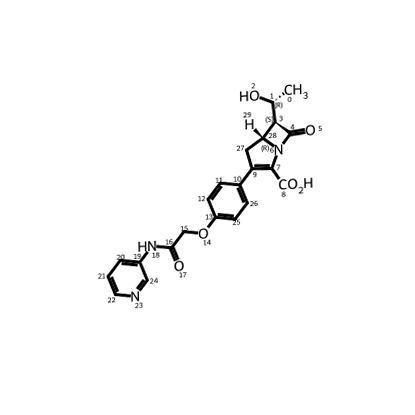 C[C@@H](O)[C@H]1C(=O)N2C(C(=O)O)=C(c3ccc(OCC(=O)Nc4cccnc4)cc3)C[C@H]12